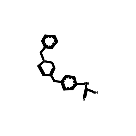 S=C(S)Nc1ccc(CC2=CCN(Cc3ccccc3)C=C2)cc1